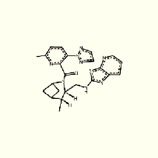 Cc1ccc(-n2nccn2)c(C(=O)N2C3CC(C3)[C@@H](C)[C@H]2CNc2nc3cccnc3s2)n1